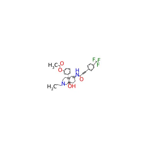 C=CCN1CC[C@@]2(c3cccc(OC(C)=O)c3)C[C@@H](NC(=O)C#Cc3ccc(C(F)(F)F)cc3)CC[C@]2(O)C1